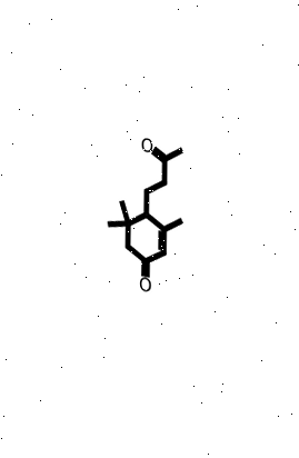 CC(=O)CCC1C(C)=CC(=O)CC1(C)C